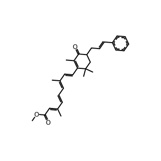 COC(=O)C=C(C)C=CC=C(C)C=CC1=C(C)C(=O)C(CC=Cc2ccccc2)CC1(C)C